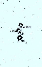 CCCc1cc(N2CCC[C@H]2COC)nc(Nc2ccc(F)c([N+](=O)[O-])c2)n1